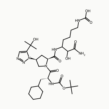 CC(C)(C)OC(=O)N[C@H](CC1CCCCC1)C(=O)N1C[C@@H](n2nncc2C(C)(C)O)C[C@H]1C(=O)NC(CCCCNC(=O)O)C(O)C(N)=O